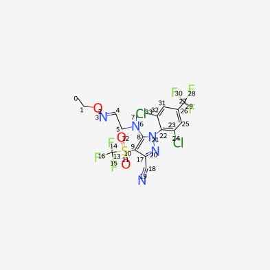 CCON=CCN(C)c1c(S(=O)(=O)C(F)(F)F)c(C#N)nn1-c1c(Cl)cc(C(F)(F)F)cc1Cl